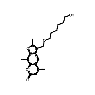 Cc1oc2c(C)c3oc(=O)cc(C)c3cc2c1COCCCCCCO